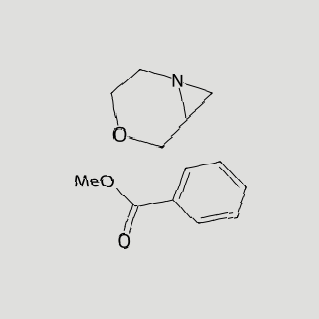 C1CN2CC2CO1.COC(=O)c1ccccc1